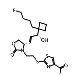 O=C(O)c1csc(SCCN2C(=O)OC[C@@H]2C=C[C@@H](O)C2(CCCCF)CCC2)n1